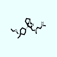 CCOC[C@]1(CC)CC[C@H](c2c(CN(C)CCNC)nn3c2CCC3)CC1